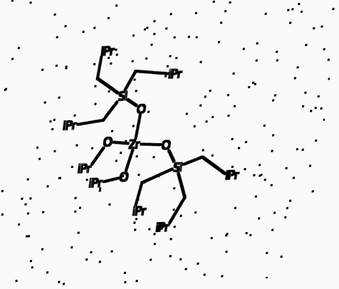 CC(C)C[Si](CC(C)C)(CC(C)C)[O][Zr]([O]C(C)C)([O]C(C)C)[O][Si](CC(C)C)(CC(C)C)CC(C)C